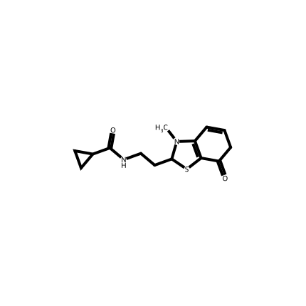 CN1C2=C(SC1CCNC(=O)C1CC1)C(=O)CC=C2